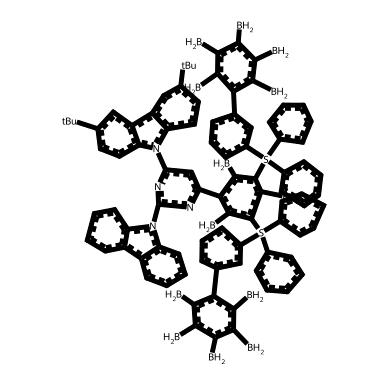 Bc1c(B)c(B)c(-c2cccc(S(c3ccccc3)(c3ccccc3)c3c(B)c(-c4cc(-n5c6ccc(C(C)(C)C)cc6c6cc(C(C)(C)C)ccc65)nc(-n5c6ccccc6c6ccccc65)n4)c(B)c(S(c4ccccc4)(c4ccccc4)c4cccc(-c5c(B)c(B)c(B)c(B)c5B)c4)c3B)c2)c(B)c1B